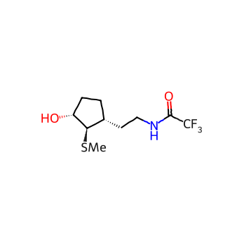 CS[C@@H]1[C@@H](CCNC(=O)C(F)(F)F)CC[C@H]1O